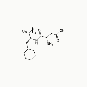 NC(=O)[C@H](CC1CCCCC1)NC(=O)[C@@H](N)CC(=O)O